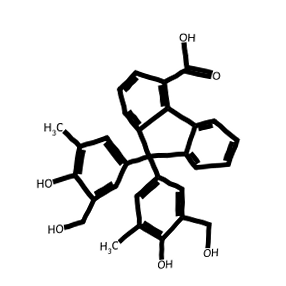 Cc1cc(C2(c3cc(C)c(O)c(CO)c3)c3ccccc3-c3c(C(=O)O)cccc32)cc(CO)c1O